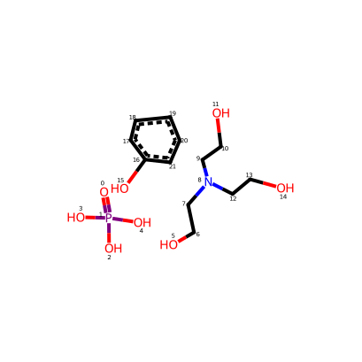 O=P(O)(O)O.OCCN(CCO)CCO.Oc1ccccc1